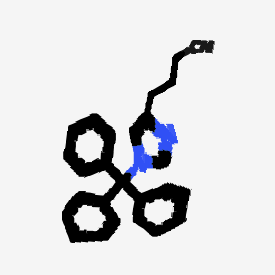 N#CCCCc1cn(C(c2ccccc2)(c2ccccc2)c2ccccc2)cn1